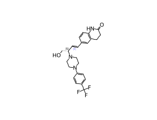 O=C1CCc2cc(/C=C/[C@@H](CO)N3CCN(c4ccc(C(F)(F)F)cc4)CC3)ccc2N1